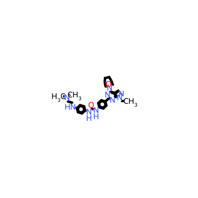 CCn1ncc2c(N3CC4CCC(C3)O4)nc(-c3ccc(NC(=O)Nc4ccc(NCCN(C)C)cc4)cc3)nc21